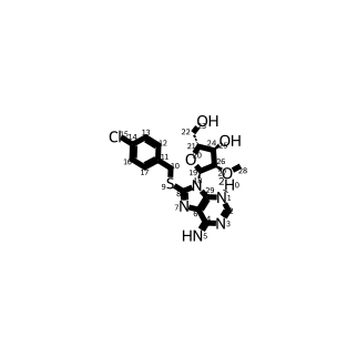 [2H]n1cnc(=N)c2nc(SCc3ccc(Cl)cc3)n([C@@H]3O[C@H](CO)[C@@H](O)[C@H]3OC)c21